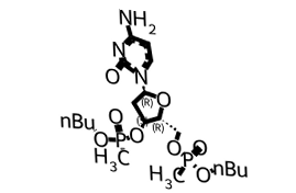 CCCCOP(C)(=O)OC[C@H]1O[C@@H](n2ccc(N)nc2=O)C[C@@H]1OP(C)(=O)OCCCC